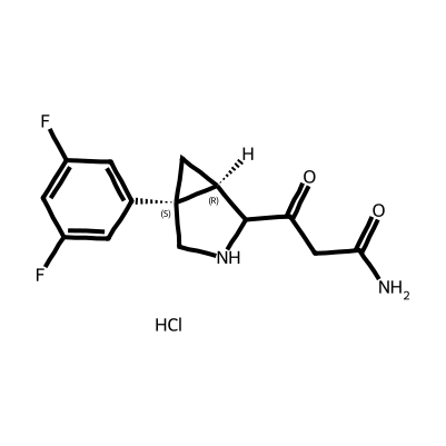 Cl.NC(=O)CC(=O)C1NC[C@@]2(c3cc(F)cc(F)c3)C[C@@H]12